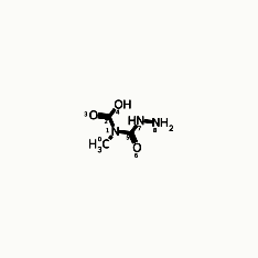 CN(C(=O)O)C(=O)NN